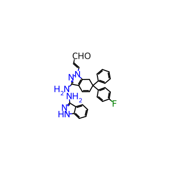 Nc1n[nH]c2ccccc12.Nc1nn(C=CC=O)c2c1C=CC(c1ccccc1)(c1ccc(F)cc1)C2